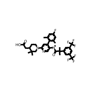 Cc1cc(F)cc(C)c1-c1cc(N2CCC(CC(=O)O)C(C)(C)C2)ncc1N(C)C(=O)C(C)(C)c1cc(C(F)(F)F)cc(C(F)(F)F)c1